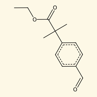 CCOC(=O)C(C)(C)c1ccc(C=O)cc1